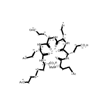 CN[C@@H](CCC(C)=O)C(=O)N[C@@H](CCC(=O)O)C(=O)N[C@@H](CCC(C)=O)C(=O)N[C@@H](CCC=O)C(=O)N[C@@H](CCC(C)=O)C(=O)N[C@@H](CSSCCOC(C)=O)C(=O)O